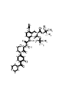 CC(C)(C)OC(=O)N(Cc1cc(NC(=O)[C@H](O)[C@H]2OCCN(c3ccc(C(=O)N4CCOCC4)c(Cl)c3)C2=O)ccc1C#N)C(=O)OC(C)(C)C